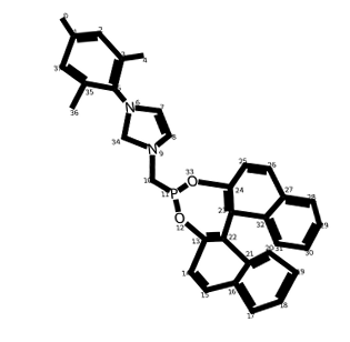 Cc1cc(C)c(N2C=CN(Cp3oc4ccc5ccccc5c4c4c(ccc5ccccc54)o3)C2)c(C)c1